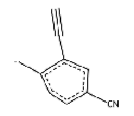 C#Cc1cc(C#N)ccc1[CH2]